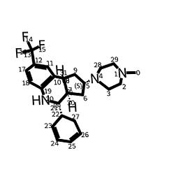 CN1CCN([C@@H]2C[C@@H]3[C@H](C2)c2cc(C(F)(F)F)ccc2N[C@H]3C2C=CC=CC2)CC1